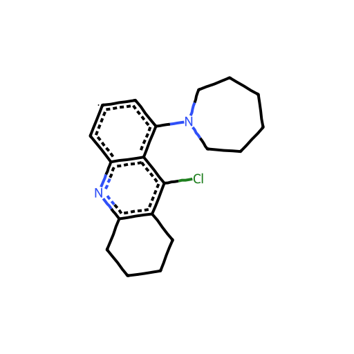 Clc1c2c(nc3c[c]cc(N4CCCCCC4)c13)CCCC2